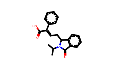 CC(C)N1C(=O)c2ccccc2C1C/C=C(/C(=O)O)c1ccccc1